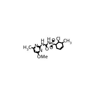 COc1cc(C)nc(NC(=O)NS(=O)(=O)C2CC=CC(C)C2Cl)n1